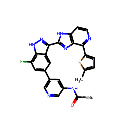 CCCCC(=O)Nc1cncc(-c2cc(F)c3[nH]nc(-c4nc5c(-c6ccc(C)s6)nccc5[nH]4)c3c2)c1